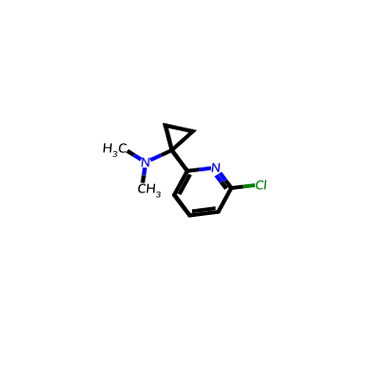 CN(C)C1(c2cccc(Cl)n2)CC1